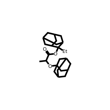 CCC1(OC(=O)C(C)OC23C[C]4CC(CC(C4)C2)C3)C2CC3CC(C2)CC1C3